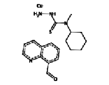 CN(C(=S)NN)C1CCCCC1.O=Cc1cccc2cccnc12.[Cu]